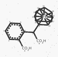 O=C(O)c1ccccc1C(C(=O)O)[C]12[CH]3[CH]4[CH]5[CH]1[Fe]45321678[CH]2[CH]1[CH]6[CH]7[CH]28